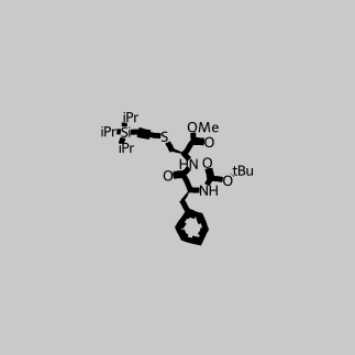 COC(=O)[C@H](CSC#C[Si](C(C)C)(C(C)C)C(C)C)NC(=O)[C@H](Cc1ccccc1)NC(=O)OC(C)(C)C